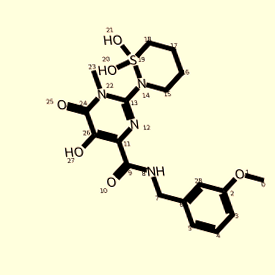 COc1cccc(CNC(=O)c2nc(N3CCCCS3(O)O)n(C)c(=O)c2O)c1